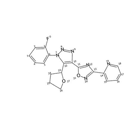 Fc1ccccc1-n1nnc(-c2nc(-c3ccccn3)no2)c1C1CCCO1